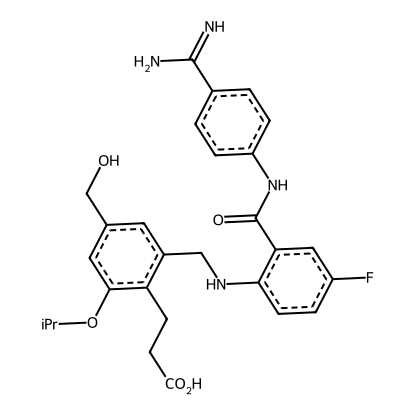 CC(C)Oc1cc(CO)cc(CNc2ccc(F)cc2C(=O)Nc2ccc(C(=N)N)cc2)c1CCC(=O)O